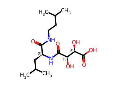 CC(C)CCNC(=O)[C@H](CC(C)C)NC(=O)[C@H](O)[C@@H](O)C(=O)O